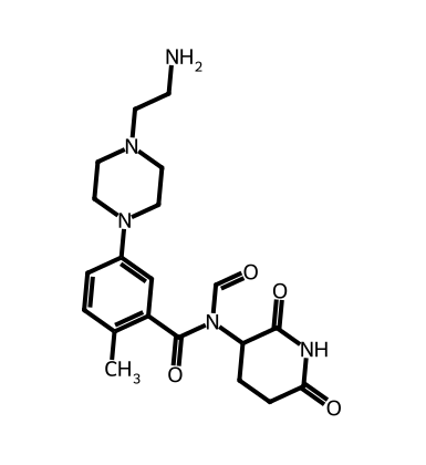 Cc1ccc(N2CCN(CCN)CC2)cc1C(=O)N(C=O)C1CCC(=O)NC1=O